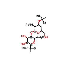 CCCCC(C)(CC)OC1CC(CO)O[C@@H](O[C@H]2C(C(=O)O)O[C@@H](C(C)(CC)CCCC)[C@@H](O)C2O)C1NC(C)=O